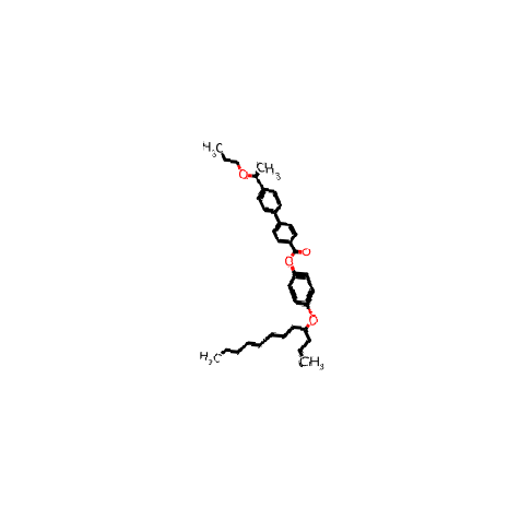 CCCCCCCCC(CCC)Oc1ccc(OC(=O)c2ccc(-c3ccc(C(C)OCCC)cc3)cc2)cc1